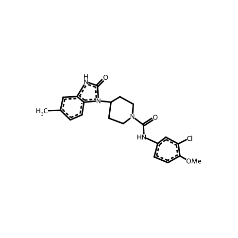 COc1ccc(NC(=O)N2CCC(n3c(=O)[nH]c4cc(C)ccc43)CC2)cc1Cl